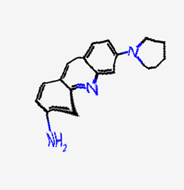 Nc1ccc2cc3ccc(N4CCCC4)cc3nc2c1